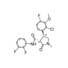 COc1c(F)ccc([C@H]2CN(C)C(=O)[C@@H]2C(=O)Nc2cccc(F)c2F)c1Cl